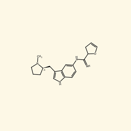 CN1CCC[C@@H]1Cc1c[nH]c2ccc(NC(=N)C3CC=CO3)cc12